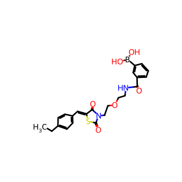 CCc1ccc(/C=C2\SC(=O)N(CCOCCNC(=O)c3cccc(B(O)O)c3)C2=O)cc1